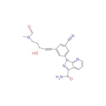 CN(C=O)CC[C@@H](O)C#Cc1cc(C#N)cc(-n2nc(C(N)=O)c3cccnc32)c1